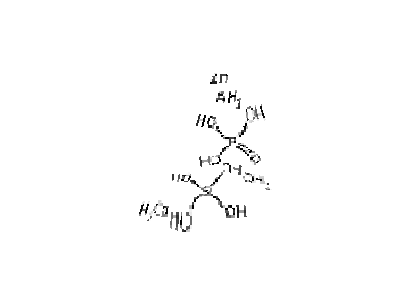 O.O=P(O)(O)O.O[Si](O)(O)O.[AlH3].[CaH2].[Zn]